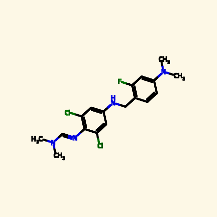 CN(C)C=Nc1c(Cl)cc(NCc2ccc(N(C)C)cc2F)cc1Cl